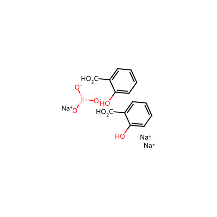 O=C(O)c1ccccc1O.O=C(O)c1ccccc1O.[Na+].[Na+].[Na+].[O-]B([O-])[O-]